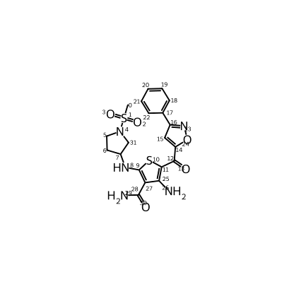 CS(=O)(=O)N1CCC(Nc2sc(C(=O)c3cc(-c4ccccc4)no3)c(N)c2C(N)=O)C1